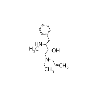 C=CCN(CC)C[C@@H](O)[C@H](Cc1ccccc1)NC